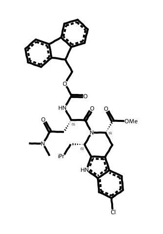 COC(=O)[C@@H]1Cc2c([nH]c3cc(Cl)ccc23)[C@H](CC(C)C)N1C(=O)[C@H](CC(=O)N(C)C)NC(=O)OCC1c2ccccc2-c2ccccc21